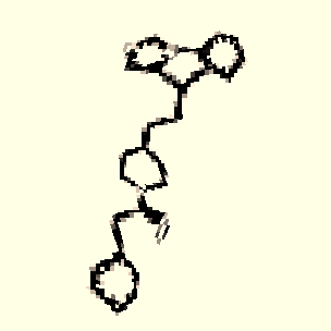 O=C(Cc1ccccc1)N1CCC(CCC2c3ccccc3-n3cncc32)CC1